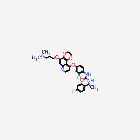 C[C@H](NC(=O)Nc1ccc(Oc2ccnc3cc(OCCCN(C)C)c4c(c23)OCCO4)cc1Cl)c1ccc(F)cc1